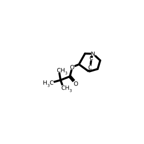 CC(C)(C)C(=O)OC1CN2CCC1CC2